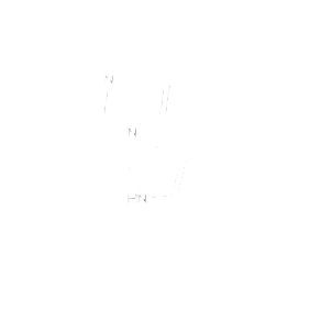 Cc1cc[nH]c1.c1cncnc1